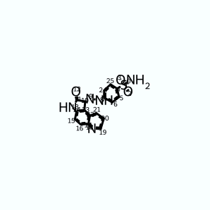 NS(=O)(=O)c1ccc(N/N=C2/C(=O)Nc3ccc4ncccc4c32)cc1